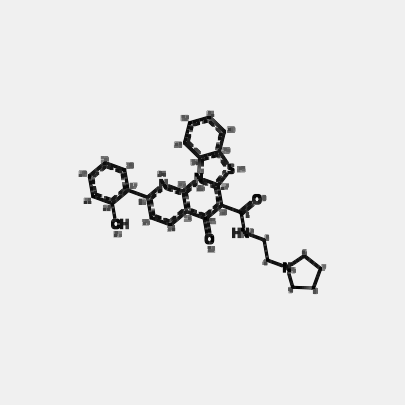 O=C(NCCN1CCCC1)c1c(=O)c2ccc(-c3ccccc3O)nc2n2c1sc1ccccc12